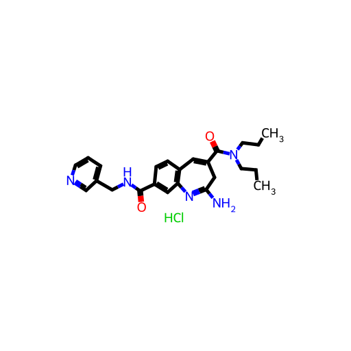 CCCN(CCC)C(=O)C1=Cc2ccc(C(=O)NCc3cccnc3)cc2N=C(N)C1.Cl